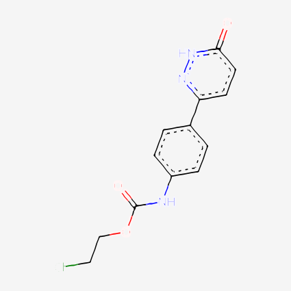 O=C(Nc1ccc(-c2ccc(=O)[nH]n2)cc1)OCCCl